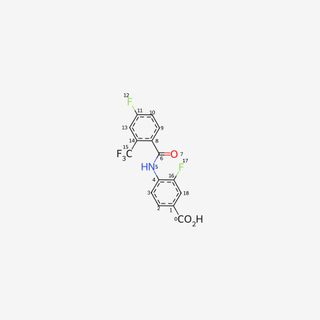 O=C(O)c1ccc(NC(=O)c2ccc(F)cc2C(F)(F)F)c(F)c1